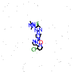 Cc1nc(C)n(-c2nc(N3CCN(C(=O)N4N=CCC4c4ncccc4Cl)CC3)ncc2F)n1